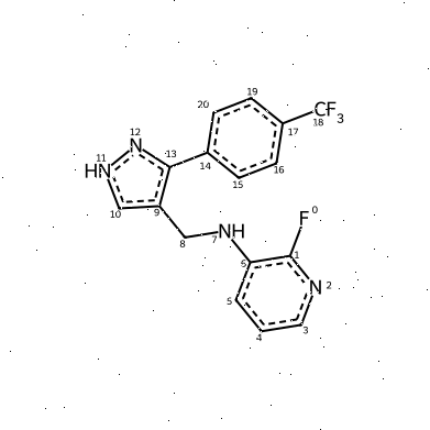 Fc1ncccc1NCc1c[nH]nc1-c1ccc(C(F)(F)F)cc1